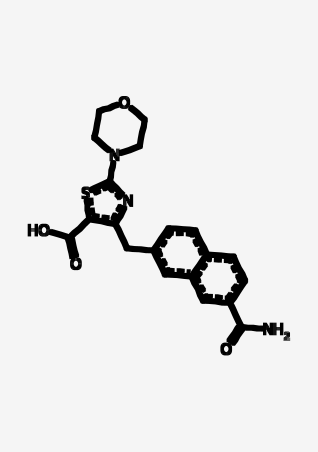 NC(=O)c1ccc2ccc(Cc3nc(N4CCOCC4)sc3C(=O)O)cc2c1